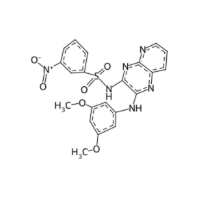 COc1cc(Nc2nc3cccnc3nc2NS(=O)(=O)c2cccc([N+](=O)[O-])c2)cc(OC)c1